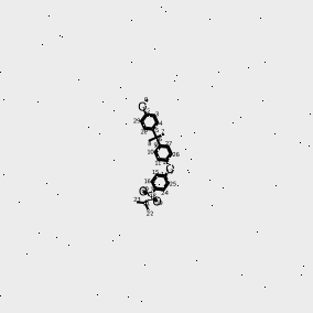 COc1ccc(C(C)(C)c2ccc(Oc3ccc(S(=O)(=O)C(C)C)cc3)cc2)cc1